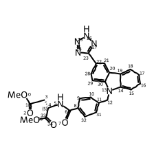 COC(=O)C[C@H](NC(=O)c1ccc(Cn2c3ccccc3c3cc(-c4nn[nH]n4)ccc32)cc1)C(=O)OC